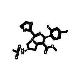 COC(=O)C1=C2C[C@H](NS(C)(=O)=O)CN2C(c2nccs2)=N[C@H]1c1ccc(F)cc1F